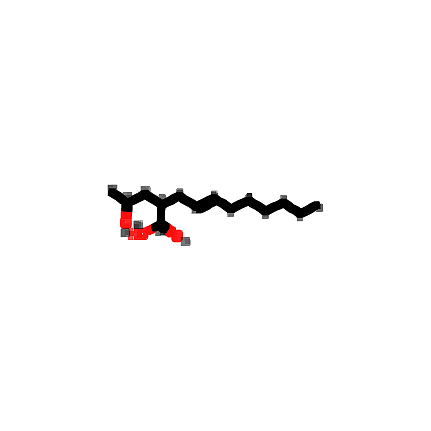 CCCCCCC=CCC(CC(C)=O)C(=O)O